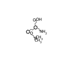 CN(C)CCCOc1ccccc1CCc1cc(CCN)cc(CCC(=O)O)c1